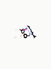 COc1ccc(Cn2nc(Cc3ccnc(N4CC5(CO)CCC4C5)n3)cc2C2CC2)cc1